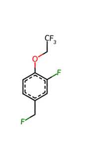 FCc1ccc(OCC(F)(F)F)c(F)c1